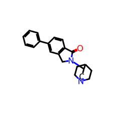 O=C1c2ccc(-c3ccccc3)cc2CN1C1CN2CCC1CC2